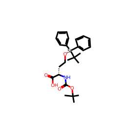 CC(C)(C)OC(=O)N[C@@H](CCO[Si](c1ccccc1)(c1ccccc1)C(C)(C)C)C(=O)O